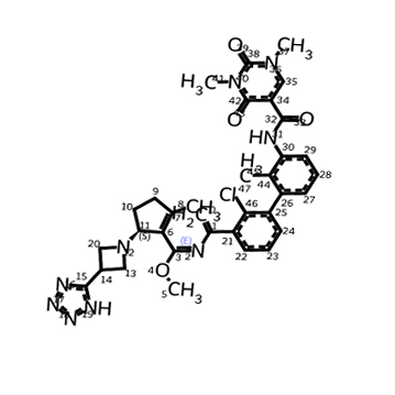 C=C(/N=C(/OC)C1=C(C)CC[C@@H]1N1CC(c2nnn[nH]2)C1)c1cccc(-c2cccc(NC(=O)c3cn(C)c(=O)n(C)c3=O)c2C)c1Cl